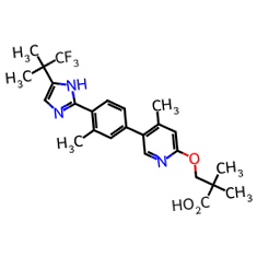 Cc1cc(OCC(C)(C)C(=O)O)ncc1-c1ccc(-c2ncc(C(C)(C)C(F)(F)F)[nH]2)c(C)c1